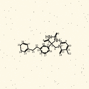 C=C1NC(=C)C(CN2C=CC=C(C)C2=C)(c2cccc(CCC3=CCCC=C3)c2)N1